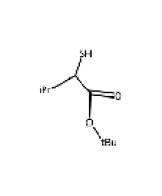 CC(C)C(S)C(=O)OC(C)(C)C